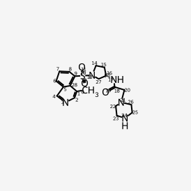 Cc1cncc2cccc(S(=O)(=O)N3CC[C@H](NC(=O)CN4CCNCC4)C3)c12